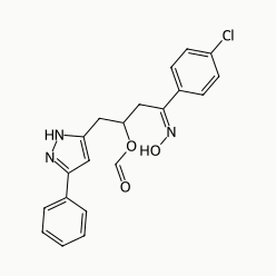 O=COC(CC(=NO)c1ccc(Cl)cc1)Cc1cc(-c2ccccc2)n[nH]1